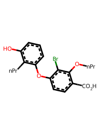 CCCOc1c(C(=O)O)ccc(Oc2cccc(O)c2CCC)c1Br